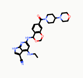 CCNc1cc(NC2OCOc3cc(C(=O)N4CCC(N5CCOCC5)CC4)ccc32)nc2[nH]cc(C#N)c12